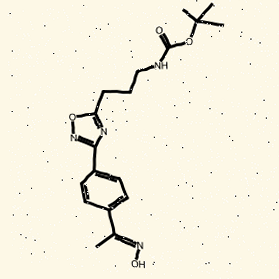 CC(=NO)c1ccc(-c2noc(CCCNC(=O)OC(C)(C)C)n2)cc1